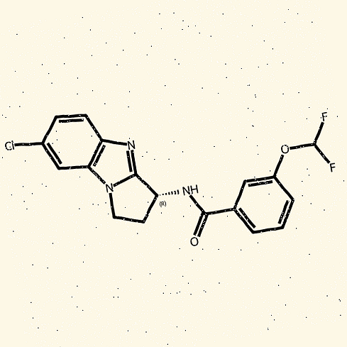 O=C(N[C@@H]1CCn2c1nc1ccc(Cl)cc12)c1cccc(OC(F)F)c1